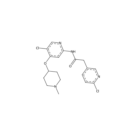 CN1CCC(Oc2cc(NC(=O)Cc3ccc(Cl)nc3)ncc2Cl)CC1